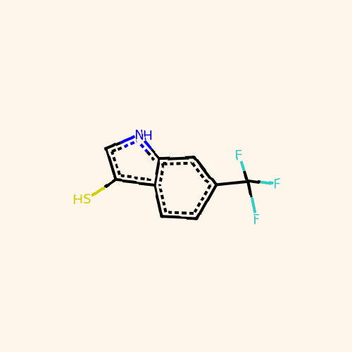 FC(F)(F)c1ccc2c(S)c[nH]c2c1